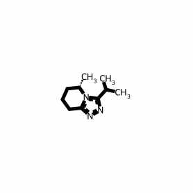 CC(C)c1nnc2n1[C@@H](C)CCC2